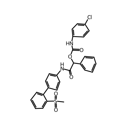 CS(=O)(=O)c1ccccc1-c1ccc(NC(=O)C(OC(=O)Nc2ccc(Cl)cc2)c2ccccc2)cc1